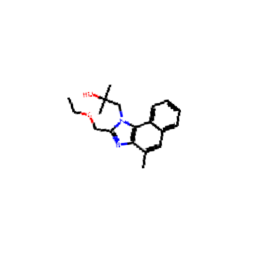 CCOCc1nc2c(C)cc3ccccc3c2n1CC(C)(C)O